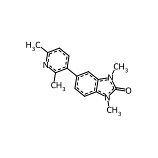 Cc1ccc(-c2ccc3c(c2)n(C)c(=O)n3C)c(C)n1